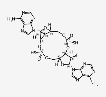 Nc1ncnc2c1ncn2[C@@H]1O[C@@H]2CO[P@@](=O)(S)O[C@@H]3[C@H](F)[C@@H](CO[P@](=O)(S)O[C@H]2[C@H]1F)O[C@H]3n1cnc2c(N)ncnc21